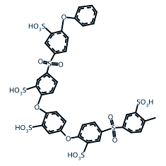 Cc1ccc(S(=O)(=O)c2ccc(Oc3ccc(Oc4ccc(S(=O)(=O)c5ccc(Oc6ccccc6)c(S(=O)(=O)O)c5)cc4S(=O)(=O)O)c(S(=O)(=O)O)c3)c(S(=O)(=O)O)c2)cc1S(=O)(=O)O